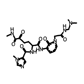 CNC(=O)C(=O)CCC(NC(=O)c1cncn1C)C(=O)Nc1cccn(CC(=O)NCN(C)C)c1=O